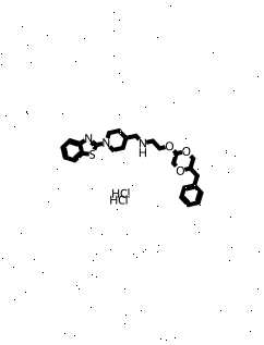 Cl.Cl.c1ccc(CC2COC(OCCNCC3CCN(c4nc5ccccc5s4)CC3)CO2)cc1